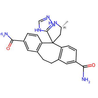 C[C@@H](N)CC1(c2nnc[nH]2)c2ccc(C(N)=O)cc2CCc2cc(C(N)=O)ccc21